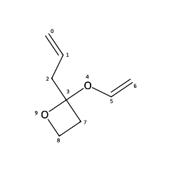 C=CCC1(OC=C)CCO1